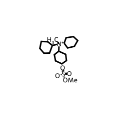 COS(=O)(=O)[O-].C[N+](C1CCCCC1)(C1CCCCC1)C1CCCCC1